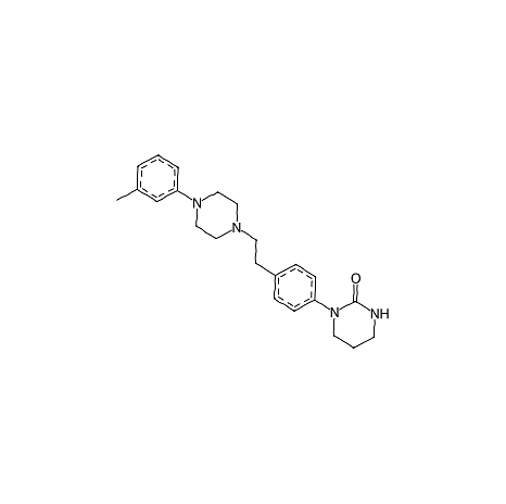 Cc1cccc(N2CCN(CCc3ccc(N4CCCNC4=O)cc3)CC2)c1